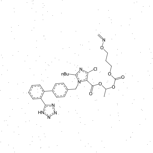 C=NOCCCOC(=O)OC(C)OC(=O)c1c(Cl)nc(CCCC)n1Cc1ccc(-c2ccccc2-c2nnn[nH]2)cc1